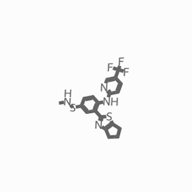 CNSc1ccc(Nc2ccc(C(F)(F)F)cn2)c(-c2nc3c(s2)CCC3)c1